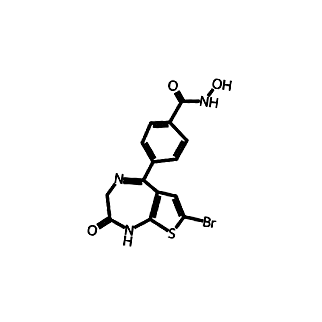 O=C1CN=C(c2ccc(C(=O)NO)cc2)c2cc(Br)sc2N1